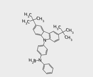 BN(c1ccccc1)c1ccc(-n2c3ccc(C(C)(C)C)cc3c3cc(C(C)(C)C)ccc32)cc1